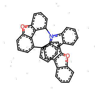 c1ccc2c(c1)oc1ccc(-c3cccc4oc5cccc(-n6c7ccccc7c7ccccc76)c5c34)cc12